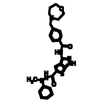 CN(NC(=O)c1cc2c(NC(=O)c3ccc(CN4CCCOCC4)cc3)n[nH]c2s1)c1ccccc1